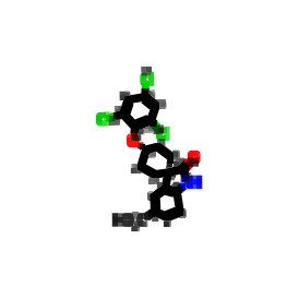 O=C(O)c1ccc2c(c1)[C@]1(CC[C@@H](Oc3c(Cl)cc(Cl)cc3Cl)CC1)C(=O)N2